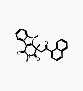 CN1C(=O)c2c(n(C)c3ccccc23)C(C)(CC(=O)c2cccc3ccccc23)C1=O